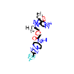 Cc1nn(C(C)COCC(=O)NC2CCN(c3ncc(C(F)(F)F)cn3)CC2)c2cn[nH]c(=O)c12